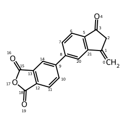 C=C1CC(=O)c2ccc(-c3ccc4c(c3)C(=O)OC4=O)cc21